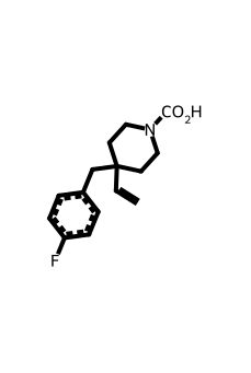 C=CC1(Cc2ccc(F)cc2)CCN(C(=O)O)CC1